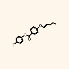 CCC/C=C/Oc1ccc(C(=O)Oc2ccc(F)cc2)cc1